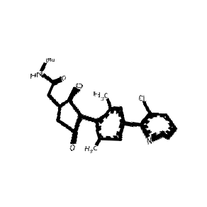 Cc1cc(-c2ncccc2Cl)cc(C)c1C1C(=O)CC(CC(=O)NC(C)(C)C)C1=O